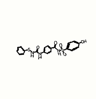 O=C(NSc1ccccc1)Nc1ccc(C(=O)NS(=O)(=O)c2ccc(O)cc2)cc1